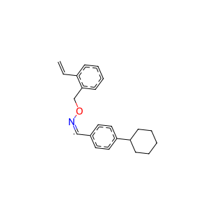 C=Cc1ccccc1CO/N=[C]\c1ccc(C2CCCCC2)cc1